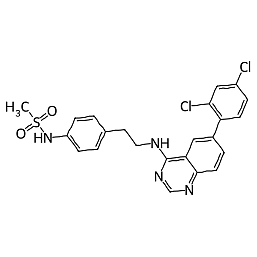 CS(=O)(=O)Nc1ccc(CCNc2ncnc3ccc(-c4ccc(Cl)cc4Cl)cc23)cc1